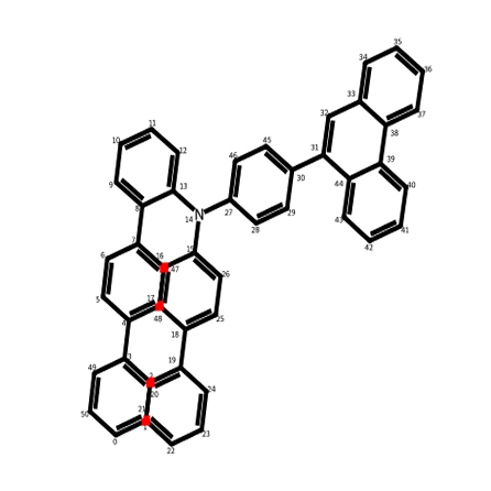 c1ccc(-c2ccc(-c3ccccc3N(c3ccc(-c4ccccc4)cc3)c3ccc(-c4cc5ccccc5c5ccccc45)cc3)cc2)cc1